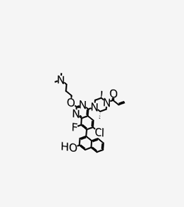 C=CC(=O)N1C[C@H](C)N(c2nc(OCCCN(C)C)nc3c(F)c(-c4cc(O)cc5ccccc45)c(Cl)cc23)C[C@H]1C